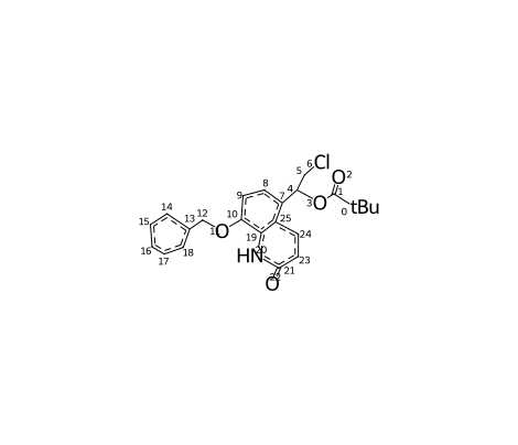 CC(C)(C)C(=O)OC(CCl)c1ccc(OCc2ccccc2)c2[nH]c(=O)ccc12